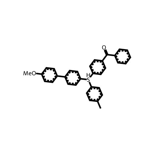 COc1ccc(-c2ccc([SH](c3ccc(C)cc3)c3ccc(C(=O)c4ccccc4)cc3)cc2)cc1